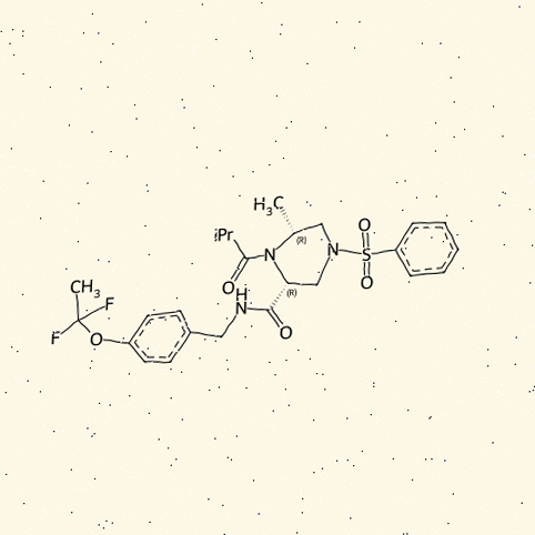 CC(C)C(=O)N1[C@H](C)CN(S(=O)(=O)c2ccccc2)C[C@@H]1C(=O)NCc1ccc(OC(C)(F)F)cc1